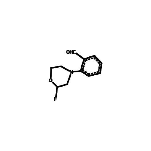 O=Cc1ccccc1N1CCOC(F)C1